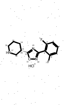 Cl.Fc1cccc(F)c1-c1noc([C@H]2CCCNC2)n1